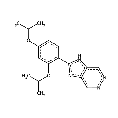 CC(C)Oc1ccc(-c2nc3cnncc3[nH]2)c(OC(C)C)c1